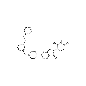 CN(Sc1ccccc1)c1cccc(CN2CCC(c3ccc4c(c3)CN(C3CCC(=O)NC3=O)C4=O)CC2)c1